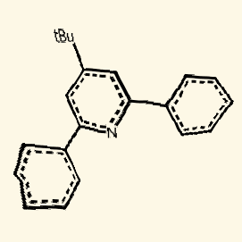 CC(C)(C)c1cc(-c2ccccc2)nc(-c2ccccc2)c1